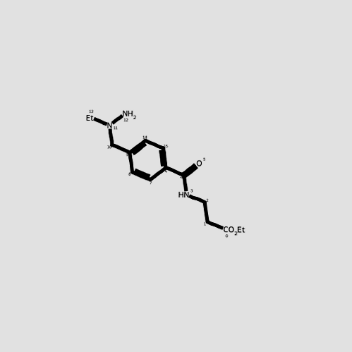 CCOC(=O)CCNC(=O)c1ccc(CN(N)CC)cc1